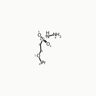 CC(C)OCCS(=O)(=O)NN